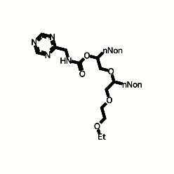 CCCCCCCCCC(COCCOCC)OCC(CCCCCCCCC)OC(=O)NCc1ncncn1